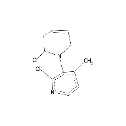 Cc1ccnc(Cl)c1N1CC=CCC1Cl